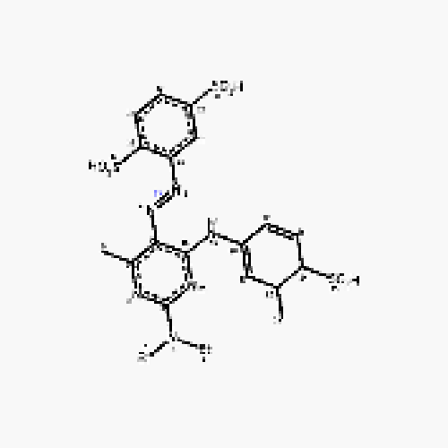 CCN(CC)c1nc(C)c(/N=N/c2cc(S(=O)(=O)O)ccc2S(=O)(=O)O)c(NC2=CC(C)C(S(=O)(=O)O)C=C2)n1